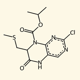 CSCC1C(=O)Nc2cnc(Cl)nc2N1C(=O)OC(C)C